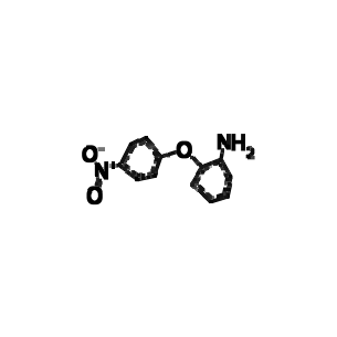 Nc1ccccc1Oc1ccc([N+](=O)[O-])cc1